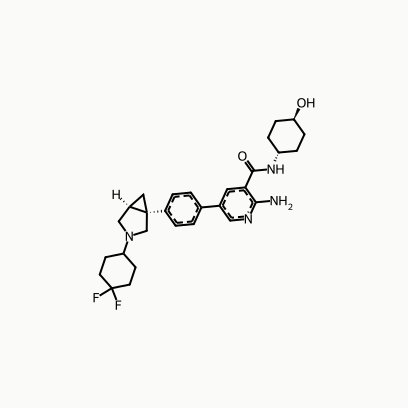 Nc1ncc(-c2ccc([C@@]34C[C@@H]3CN(C3CCC(F)(F)CC3)C4)cc2)cc1C(=O)N[C@H]1CC[C@H](O)CC1